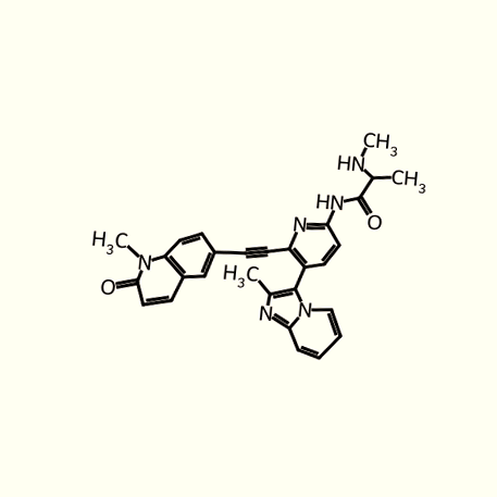 CNC(C)C(=O)Nc1ccc(-c2c(C)nc3ccccn23)c(C#Cc2ccc3c(ccc(=O)n3C)c2)n1